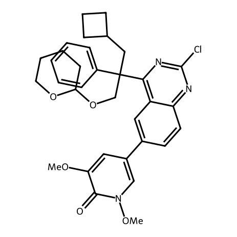 COc1cc(-c2ccc3nc(Cl)nc(C(COC4CCCCO4)(CC4CCC4)c4ccccc4)c3c2)cn(OC)c1=O